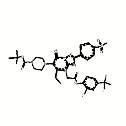 CCc1c(N2CCN(C(=O)OC(C)(C)C)CC2)c(=O)n2nc(-c3ccc(S(C)(=O)=O)cc3)nc2n1CC(=O)Nc1ccc(C(F)(F)F)cc1Cl